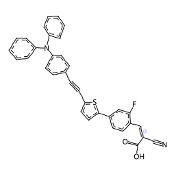 N#C/C(=C/c1ccc(-c2ccc(C#Cc3ccc(N(c4ccccc4)c4ccccc4)cc3)s2)cc1F)C(=O)O